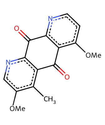 COc1cnc2c(c1C)C(=O)c1c(OC)ccnc1C2=O